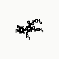 CCOC(=O)C(=CN(CC)c1ccc(F)c(F)c1)C(=O)OCC